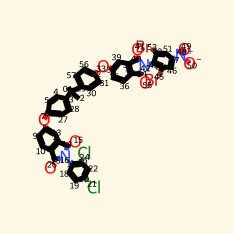 CC(C)(c1ccc(Oc2ccc3c(c2)C(=O)N(c2ccc(Cl)cc2Cl)C3=O)cc1)c1ccc(Oc2ccc3c(c2)C(=O)N(c2c(Br)cc([N+](=O)[O-])cc2Br)C3=O)cc1